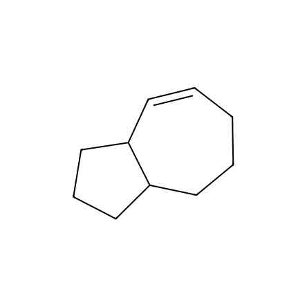 C1=CC2CCCC2CCC1